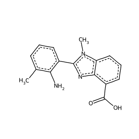 Cc1cccc(-c2nc3c(C(=O)O)cccc3n2C)c1N